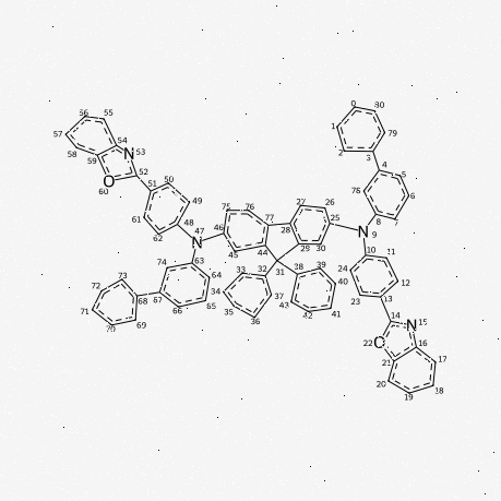 c1ccc(-c2cccc(N(c3ccc(-c4nc5ccccc5o4)cc3)c3ccc4c(c3)C(c3ccccc3)(c3ccccc3)c3cc(N(c5ccc(-c6nc7ccccc7o6)cc5)c5cccc(-c6ccccc6)c5)ccc3-4)c2)cc1